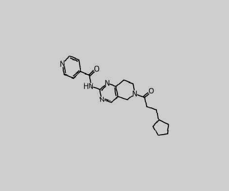 O=C(Nc1ncc2c(n1)CCN(C(=O)CCC1CCCC1)C2)c1ccncc1